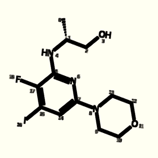 C[C@H](CO)Nc1nc(N2CCOCC2)cc(I)c1F